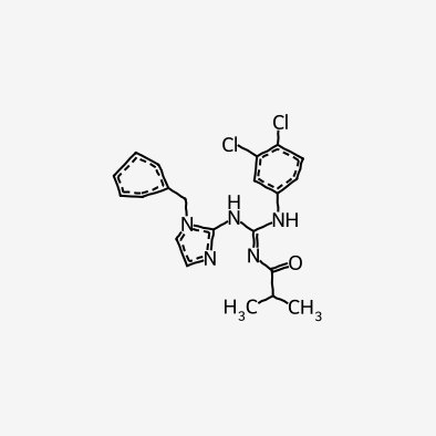 CC(C)C(=O)/N=C(\Nc1ccc(Cl)c(Cl)c1)Nc1nccn1Cc1ccccc1